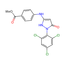 COC(=O)c1ccc(Nc2cc(=O)n(-c3c(Cl)cc(Cl)cc3Cl)[nH]2)cc1